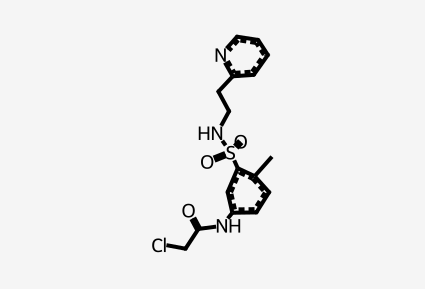 Cc1ccc(NC(=O)CCl)cc1S(=O)(=O)NCCc1ccccn1